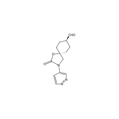 O=C[C@H]1CC[C@]2(CC1)CN(c1ccnnc1)C(=O)O2